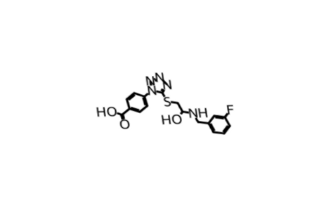 O=C(O)c1ccc(-n2nnnc2SCC(O)NCc2cccc(F)c2)cc1